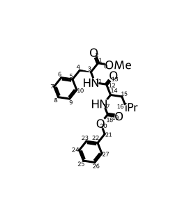 COC(=O)[C@H](Cc1ccccc1)NC(=O)C(CC(C)C)NC(=O)OCc1ccccc1